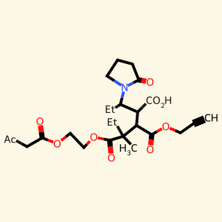 C#CCOC(=O)C(C(C(=O)O)C(CC)N1CCCC1=O)C(C)(CC)C(=O)OCCOC(=O)CC(C)=O